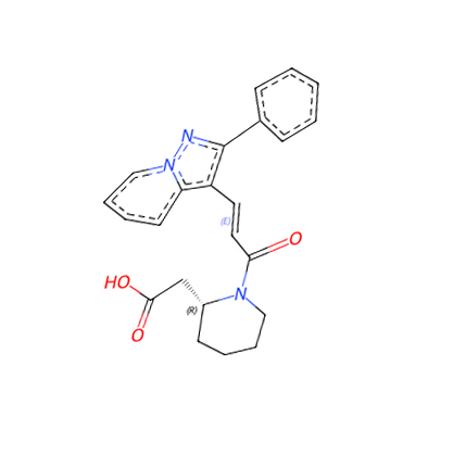 O=C(O)C[C@H]1CCCCN1C(=O)/C=C/c1c(-c2ccccc2)nn2ccccc12